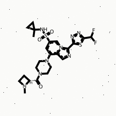 CN1CC[C@@H]1C(=O)N1CCN(c2cc(S(=O)(=O)NC3(C)CC3)cn3c(-c4nnc(C(F)F)s4)ncc23)CC1